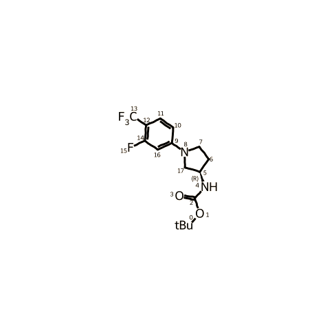 CC(C)(C)OC(=O)N[C@@H]1CCN(c2ccc(C(F)(F)F)c(F)c2)C1